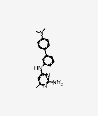 Cc1cc(Nc2cccc(-c3ccc(N(C)C)cc3)c2)nc(N)n1